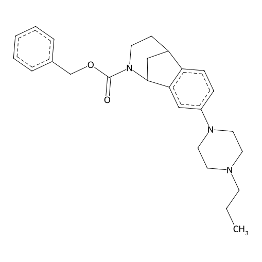 CCCN1CCN(c2ccc3c(c2)C2CC3CCN2C(=O)OCc2ccccc2)CC1